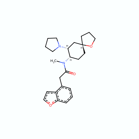 CN(C(=O)Cc1cccc2occc12)[C@H]1CC[C@]2(CCCO2)C[C@H]1N1CCCC1